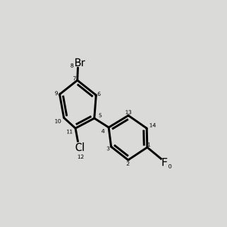 Fc1ccc(-c2cc(Br)ccc2Cl)cc1